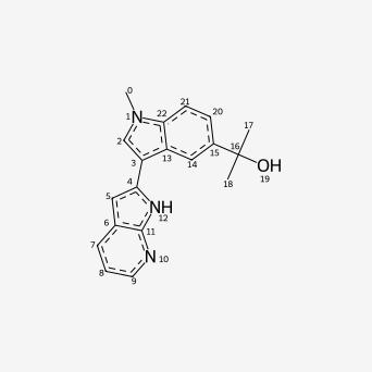 Cn1cc(-c2cc3cccnc3[nH]2)c2cc(C(C)(C)O)ccc21